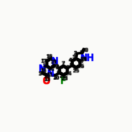 C=C1Cc2cc(-c3ccc(Cn4c(=O)cnc5ccncc54)c(F)c3)ccc2N1